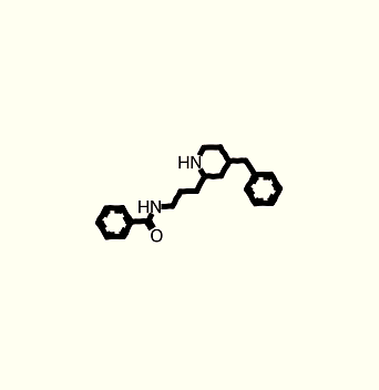 O=C(NCCCC1CC(Cc2ccccc2)CCN1)c1ccccc1